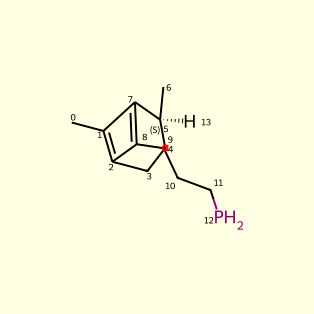 CC1=C2CC[C@H](C)C1=C2CCCP